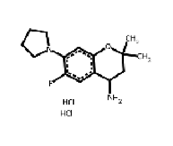 CC1(C)CC(N)c2cc(F)c(N3CCCC3)cc2O1.Cl.Cl